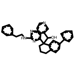 OC(c1cccnc1)C1(c2ccnc(NCCc3ccccc3)n2)CCCc2ccc(-c3ccccc3)cc21